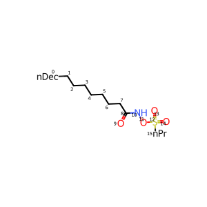 CCCCCCCCCCCCCCCCCC(=O)NOS(=O)(=O)CCC